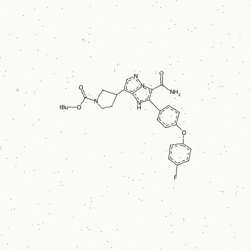 CC(C)(C)OC(=O)N1CCC(c2cnn3c(C(N)=O)c(-c4ccc(Oc5ccc(F)cc5)cc4)[nH]c23)C1